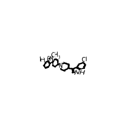 CN(C)C1(c2ccccc2)CCC(N2CCC(c3c[nH]c4ccc(Cl)cc34)CC2)CC1